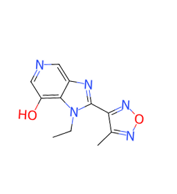 CCn1c(-c2nonc2C)nc2cncc(O)c21